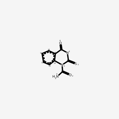 NC(=O)N1C(=S)[N]C(=O)c2ccccc21